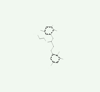 CCCCCCCCCCCCSC(CCc1cc(C)cc(C)c1O)Cc1cc(C)cc(C)c1O